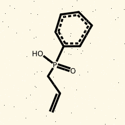 C=CCP(=O)(O)c1ccccc1